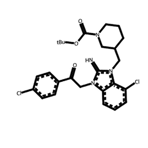 CC(C)(C)OC(=O)N1CCCC(Cn2c(=N)n(CC(=O)c3ccc(Cl)cc3)c3cccc(Cl)c32)C1